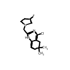 CC1(C)CC=C2NC(CN3CCC(F)C3)=NC(Cl)=C2C1